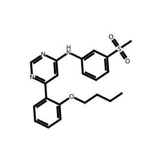 CCCCOc1ccccc1-c1cc(Nc2cccc(S(C)(=O)=O)c2)ncn1